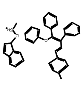 C[SiH](C)[Ti][CH]1C=Cc2ccccc21.Cc1ccc(C=CC(=C(Oc2ccccc2)c2ccccc2)c2ccccc2)cc1